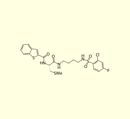 CSC[C@H](NC(=O)c1cc2ccccc2s1)C(=O)NCCCCNS(=O)(=O)c1ccc(F)cc1Cl